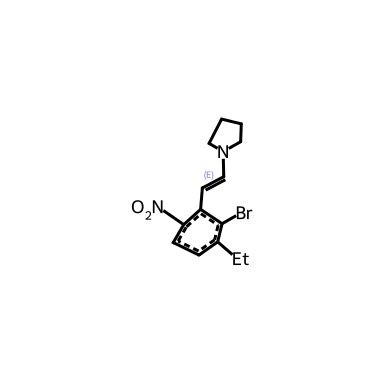 CCc1ccc([N+](=O)[O-])c(/C=C/N2CCCC2)c1Br